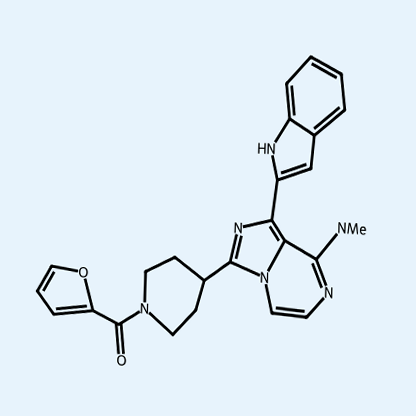 CNc1nccn2c(C3CCN(C(=O)c4ccco4)CC3)nc(-c3cc4ccccc4[nH]3)c12